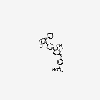 Cc1nc(Sc2ccc(C(=O)O)cc2)ccc1N1CCC(N2C(=O)OC[C@H]2c2ccccc2)CC1